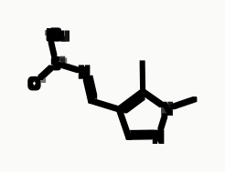 Cc1c(/C=N/[S+]([O-])C(C)(C)C)cnn1C